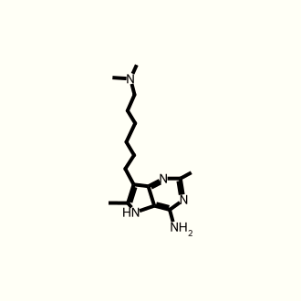 Cc1nc(N)c2[nH]c(C)c(CCCCCCN(C)C)c2n1